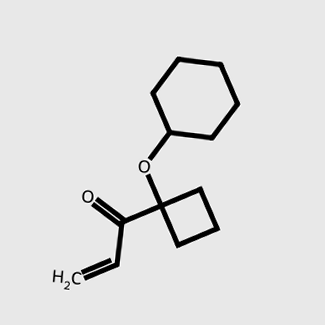 C=CC(=O)C1(OC2CCCCC2)CCC1